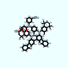 Cc1cc2c(cc1N1c3ccc(N(c4ccc(C(C)(C)C)cc4)c4cccc(C(C)(C)C)c4)cc3B3c4c1cc1c(oc5ccccc51)c4-c1cc4oc5ccccc5c4cc1N3c1ccc3c(c1)C(C)(C)CCC3(C)C)C(C)(C)CCC2(C)C